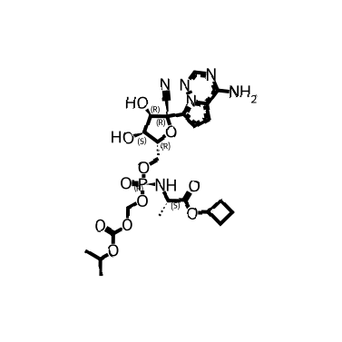 CC(C)OC(=O)OCO[P@@](=O)(N[C@@H](C)C(=O)OC1CCC1)OC[C@H]1O[C@@](C#N)(c2ccc3c(N)ncnn23)[C@H](O)[C@@H]1O